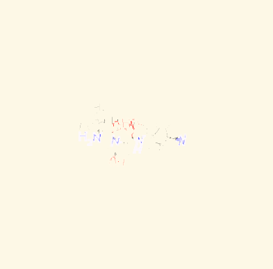 CC(C)(C)[C@H](N)C(=O)N1C[C@H](O)C[C@H]1C(=O)N[C@@H](CO)c1ccc(C#N)cc1